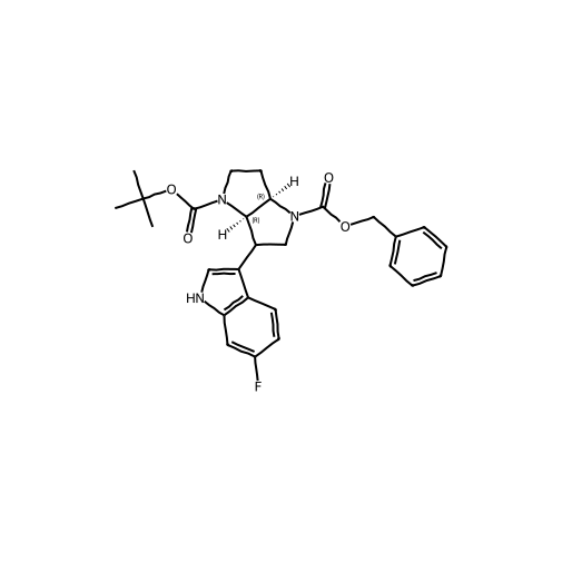 CC(C)(C)OC(=O)N1CC[C@@H]2[C@H]1C(c1c[nH]c3cc(F)ccc13)CN2C(=O)OCc1ccccc1